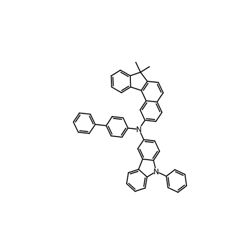 CC1(C)c2ccccc2-c2c1ccc1ccc(N(c3ccc(-c4ccccc4)cc3)c3ccc4c(c3)c3ccccc3n4-c3ccccc3)cc21